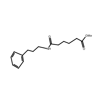 COC(=O)CCCCC(=O)NCCCc1ccccc1